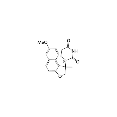 COc1ccc2c3c(ccc2c1)OCC3(C)[C@H]1CCC(=O)NC1=O